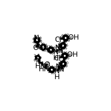 O=C(NCCN1CCCC1)Nc1ccc(Nc2nc3ccc(-c4cc(O)ccc4Cl)cn3n2)cc1.O=C(c1ccncc1)N1CCN(c2ccc(Nc3nc4ccc(-c5cc(O)ccc5Cl)cn4n3)cc2)CC1